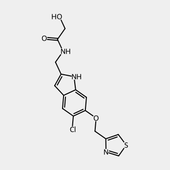 O=C(CO)NCc1cc2cc(Cl)c(OCc3cscn3)cc2[nH]1